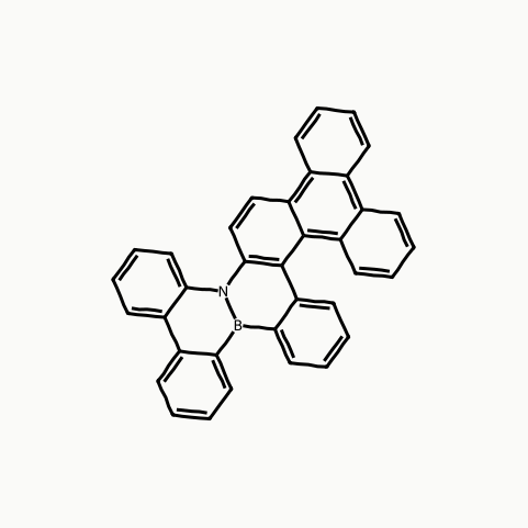 c1ccc2c(c1)B1c3ccccc3-c3c(ccc4c5ccccc5c5ccccc5c34)N1c1ccccc1-2